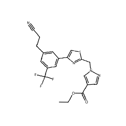 CCOC(=O)c1cnn(Cc2nc(-c3cc(CCC#N)cc(C(F)(F)F)c3)cs2)c1